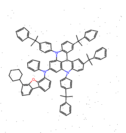 CC(C)(c1ccccc1)c1ccc(N2c3ccc(C(C)(C)c4ccccc4)cc3B3c4cc(C(C)(C)c5ccccc5)ccc4N(c4ccc(C(C)(C)c5ccccc5)cc4)c4cc(N(c5ccccc5)c5cccc6c5oc5c(C7CCCCC7)cccc56)cc2c43)cc1